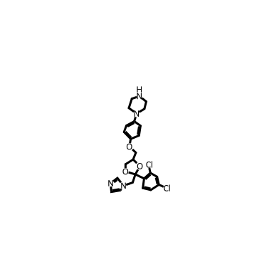 Clc1ccc(C2(Cn3ccnc3)OCC(COc3ccc(N4CCNCC4)cc3)O2)c(Cl)c1